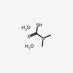 CN(C)C(=S)S.O.O